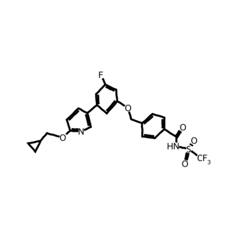 O=C(NS(=O)(=O)C(F)(F)F)c1ccc(COc2cc(F)cc(-c3ccc(OCC4CC4)nc3)c2)cc1